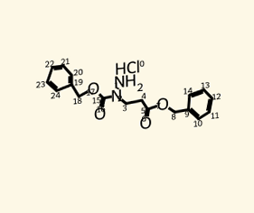 Cl.NN(CCC(=O)OCc1ccccc1)C(=O)OCc1ccccc1